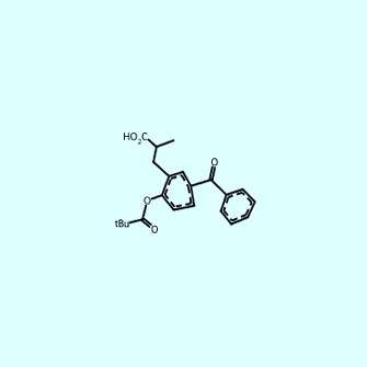 CC(Cc1cc(C(=O)c2ccccc2)ccc1OC(=O)C(C)(C)C)C(=O)O